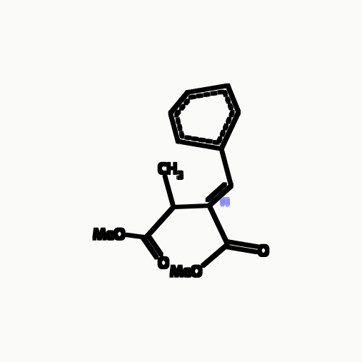 COC(=O)/C(=C/c1ccccc1)C(C)C(=O)OC